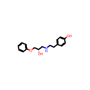 Oc1ccc(CCNC[C@H](O)COc2ccccc2)cc1